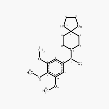 COc1cc([S+]([O-])N2CCC3(CC2)NCCO3)cc(OC)c1OC